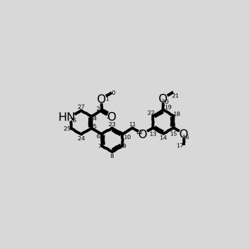 COC(=O)C1=C(c2cccc(COc3cc(OC)cc(OC)c3)c2)CCNC1